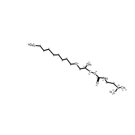 CCCCCCCCCCCCCCCCCCOCC(O)COC(=O)NCCN(C)C